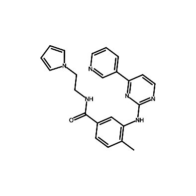 Cc1ccc(C(=O)NCCn2cccc2)cc1Nc1nccc(-c2cccnc2)n1